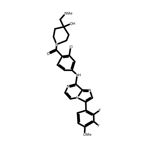 CNCC1(O)CCN(C(=O)c2ccc(Nc3nccn4c(-c5ccc(OC)c(F)c5F)cnc34)cc2Cl)CC1